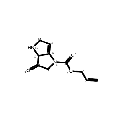 C=CCOC(=O)N1CC(=O)C2NCC=C21